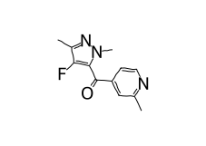 Cc1cc(C(=O)c2c(F)c(C)nn2C)ccn1